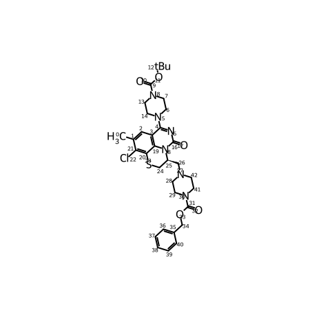 Cc1cc2c(N3CCN(C(=O)OC(C)(C)C)CC3)nc(=O)n3c2c(c1Cl)SC[C@@H]3CN1CCN(C(=O)OCc2ccccc2)CC1